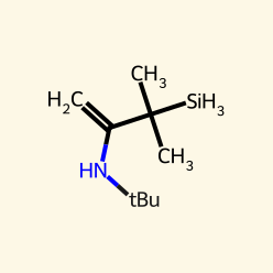 C=C(NC(C)(C)C)C(C)(C)[SiH3]